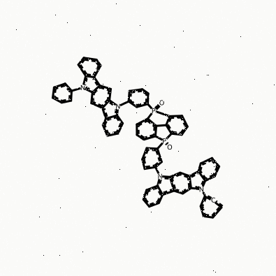 O=P1(c2cccc(-n3c4ccccc4c4cc5c(cc43)c3ccccc3n5-c3ccccc3)c2)c2cccc3c2-c2c1cccc2P3(=O)c1cccc(-n2c3ccccc3c3cc4c(cc32)c2ccccc2n4-c2ccccc2)c1